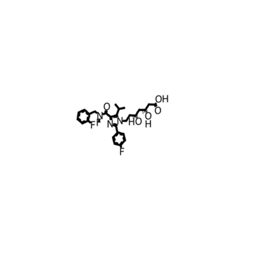 CC(C)c1c(C(=O)N(F)Cc2ccccc2F)nc(-c2ccc(F)cc2)n1CC[C@@H](O)C[C@@H](O)CC(=O)O